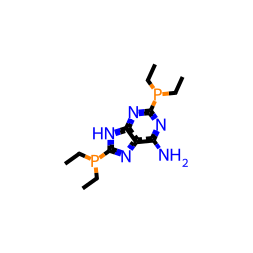 CCP(CC)c1nc(N)c2nc(P(CC)CC)[nH]c2n1